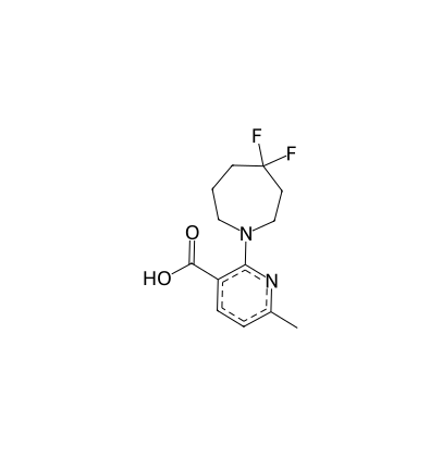 Cc1ccc(C(=O)O)c(N2CCCC(F)(F)CC2)n1